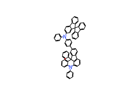 c1ccc(N(c2ccc(-c3ccc4c(c3)C3(c5ccccc5)c5ccccc5N(c5ccccc5)c5cccc-4c53)cc2)c2ccc3c(c2)C2(c4ccccc4-c4ccccc42)c2ccccc2-3)cc1